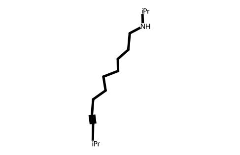 CC(C)C#CCCCCCCCNC(C)C